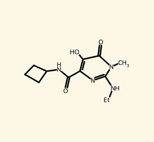 CCNc1nc(C(=O)NC2CCC2)c(O)c(=O)n1C